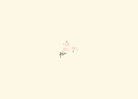 B.[BH4-].[BH4-].[Zn+2]